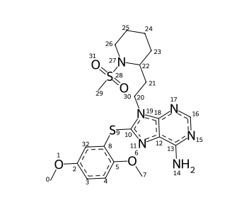 COc1ccc(OC)c(Sc2nc3c(N)ncnc3n2CCC2CCCCN2S(C)(=O)=O)c1